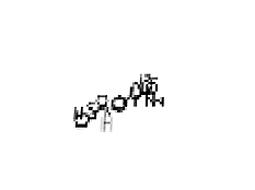 CC(C)n1cc(-c2ccc(NC(=O)c3cc4c(s3)N=CCC4)cc2)cc1C(=O)NC1CC1